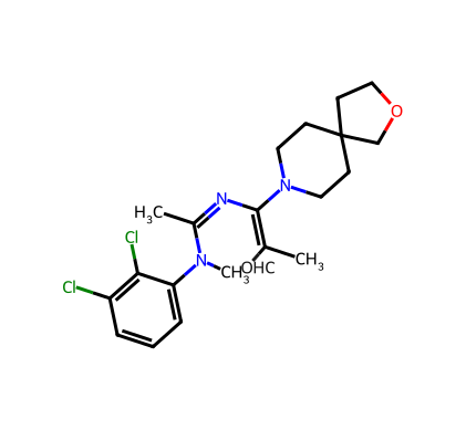 C/C(=N/C(=C(/C)C=O)N1CCC2(CCOC2)CC1)N(C)c1cccc(Cl)c1Cl